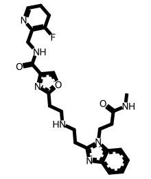 CNC(=O)CCn1c(CCNCCc2nc(C(=O)NCC3=C(F)CCC=N3)co2)nc2ccccc21